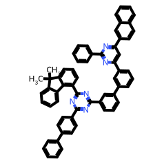 CC1(C)c2ccccc2-c2c(-c3nc(-c4ccc(-c5ccccc5)cc4)nc(-c4cccc(-c5cccc(-c6cc(-c7ccc8ccccc8c7)nc(-c7ccccc7)n6)c5)c4)n3)cccc21